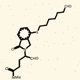 CNC(=O)CCC(C=O)N1Cc2c(SCCCCCCC=O)cccc2C1=O